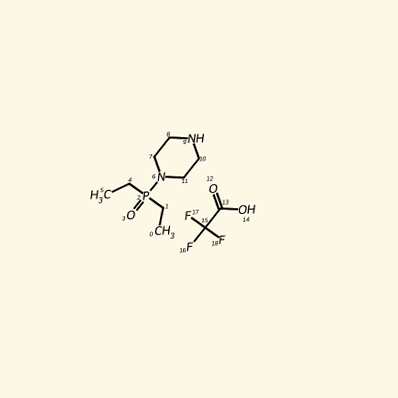 CCP(=O)(CC)N1CCNCC1.O=C(O)C(F)(F)F